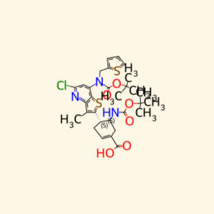 Cc1c([C@H]2CC=C(C(=O)O)C[C@@H]2NC(=O)OC(C)(C)C)sc2c(N(Cc3cccs3)C(=O)OC(C)(C)C)cc(Cl)nc12